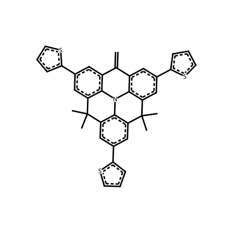 C=C1c2cc(-c3cccs3)cc3c2N2c4c1cc(-c1cccs1)cc4C(C)(C)c1cc(-c4cccs4)cc(c12)C3(C)C